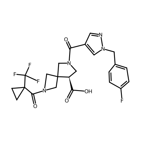 O=C(O)[C@@H]1CN(C(=O)c2cnn(Cc3ccc(F)cc3)c2)CC12CN(C(=O)C1(C(F)(F)F)CC1)C2